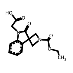 CCOC(=O)N1CC2(C1)C(=O)N(CC(=O)O)c1ccccc12